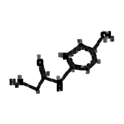 Cc1ccc(NC(=O)CN)nc1